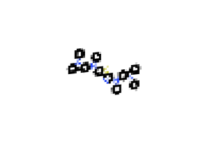 c1ccc(N(c2ccc3c(c2)sc2cc(N(c4ccccc4)c4ccc5c6ccccc6n(-c6ccccc6)c5c4)cnc23)c2ccc3c4ccccc4n(-c4ccccc4)c3c2)cc1